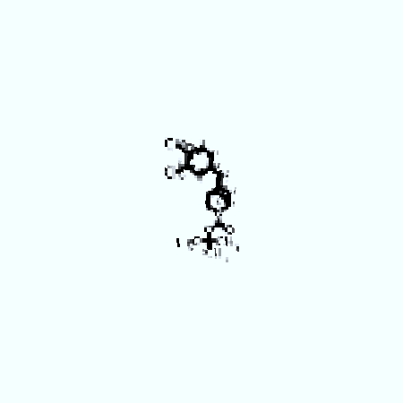 CC(C)(C)OC(=O)N1CC2CCC1CC2=Cc1ccc(Cl)c(Cl)c1